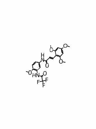 COc1cc(OC)c(C=CC(=O)Nc2ccc(OC)c(NC(=O)C(F)(F)F)c2)c(OC)c1